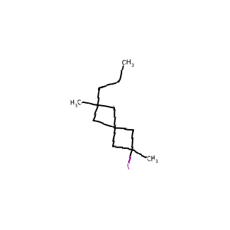 CCCC1(C)CC2(CC(C)(I)C2)C1